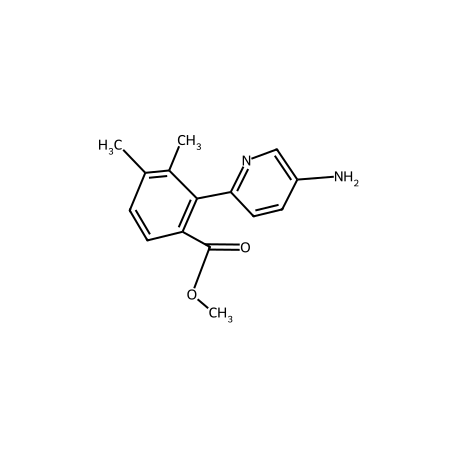 COC(=O)c1ccc(C)c(C)c1-c1ccc(N)cn1